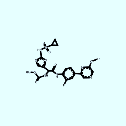 CCOc1cncc(-c2ccc(NC(=O)C(NC(=O)OC(C)(C)C)c3csc(NS(=O)(=O)C4CC4)n3)c(F)c2)n1